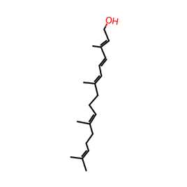 CC(C)=CCC/C(C)=C/CC/C(C)=C/C=C/C(C)=C/CO